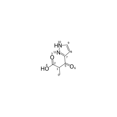 CC(C(=O)O)C(=O)c1cc[nH]n1